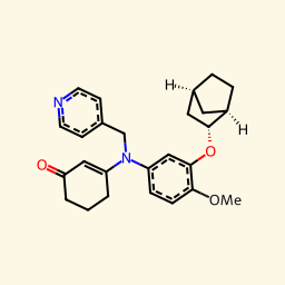 COc1ccc(N(Cc2ccncc2)C2=CC(=O)CCC2)cc1O[C@@H]1C[C@H]2CC[C@@H]1C2